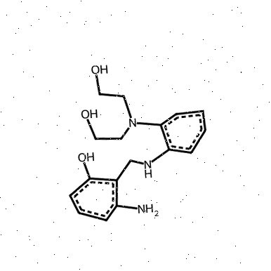 Nc1cccc(O)c1CNc1ccccc1N(CCO)CCO